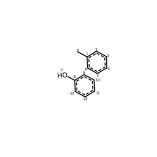 Cc1ccccc1.Oc1ccccc1